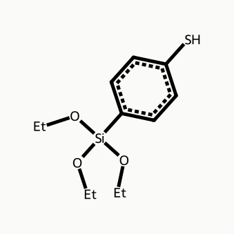 CCO[Si](OCC)(OCC)c1ccc(S)cc1